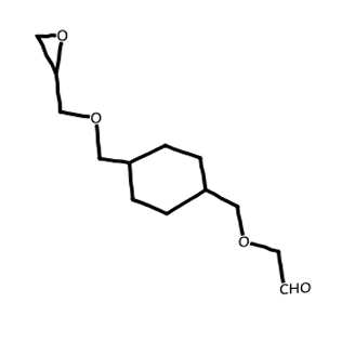 O=CCOCC1CCC(COCC2CO2)CC1